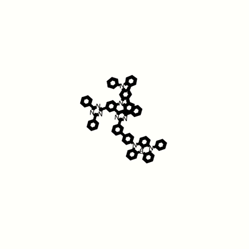 c1ccc(-c2cc(-c3cc(-c4nc(-c5ccccc5)nc(-c5ccccc5)n4)ccc3-n3c4ccccc4c4cc5c6ccccc6n(-c6ccccc6)c5cc43)nc(-c3cccc(-c4ccc(N5c6ccccc6B6c7ccccc7N(c7ccccc7)c7cccc5c76)cc4)c3)n2)cc1